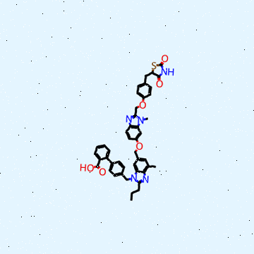 CCCc1nc2c(C)cc(COc3ccc4nc(COc5ccc(CC6SC(=O)NC6=O)cc5)n(C)c4c3)cc2n1Cc1ccc(-c2ccccc2C(=O)O)cc1